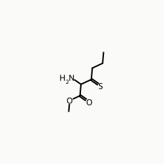 CCCC(=S)C(N)C(=O)OC